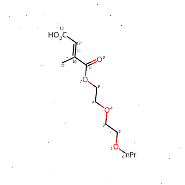 CCCOCCOCCOC(=O)/C(C)=C/C(=O)O